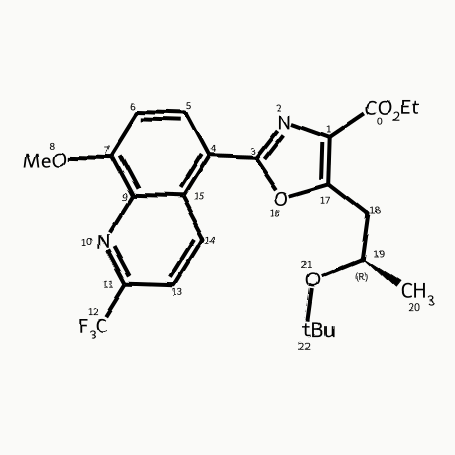 CCOC(=O)c1nc(-c2ccc(OC)c3nc(C(F)(F)F)ccc23)oc1C[C@@H](C)OC(C)(C)C